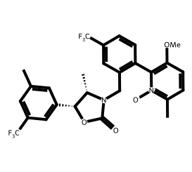 COc1ccc(C)[n+]([O-])c1-c1ccc(C(F)(F)F)cc1CN1C(=O)O[C@H](c2cc(C)cc(C(F)(F)F)c2)[C@@H]1C